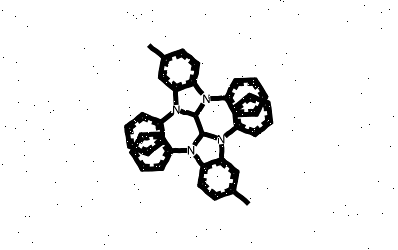 Cc1ccc2c(c1)N(c1ccccc1)C(C1N(c3ccccc3)c3ccc(C)cc3N1c1ccccc1)N2c1ccccc1